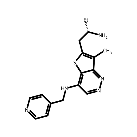 CC[C@H](N)Cc1sc2c(NCc3ccncc3)cnnc2c1C